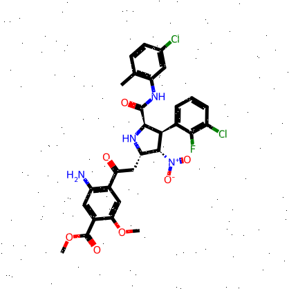 COC(=O)c1cc(N)c(C(=O)C[C@@H]2N[C@@H](C(=O)Nc3cc(Cl)ccc3C)[C@@H](c3cccc(Cl)c3F)[C@@H]2[N+](=O)[O-])cc1OC